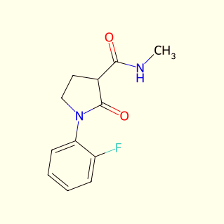 CNC(=O)C1CCN(c2ccccc2F)C1=O